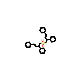 O=S(=O)(CC(C=Cc1ccccc1)c1ccccc1)CC(C=Cc1ccccc1)c1ccccc1